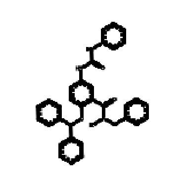 CCN(Cc1ccncc1)C(=O)c1cc(NC(=O)Nc2ccccc2)ccc1OC(c1ccccc1)c1ccccc1